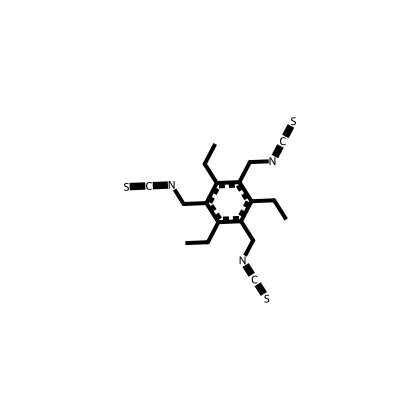 CCc1c(CN=C=S)c(CC)c(CN=C=S)c(CC)c1CN=C=S